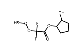 O=C(OC1CCCC1O)C(F)(F)OOS